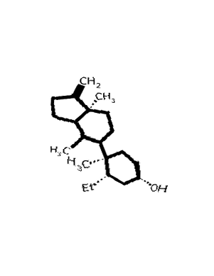 C=C1CCC2C(C)C([C@@]3(C)CC[C@H](O)C[C@@H]3CC)CC[C@]12C